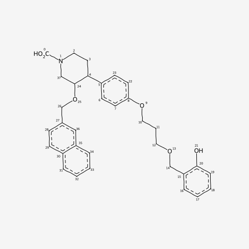 O=C(O)N1CCC(c2ccc(OCCCOCc3ccccc3O)cc2)C(OCc2ccc3ccccc3c2)C1